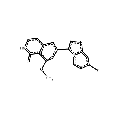 COc1cc(-c2cnc3cc(F)ccn23)cc2cc[nH]c(=O)c12